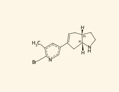 Cc1cc(C2=CC[C@@H]3CCN[C@@H]3C2)cnc1Br